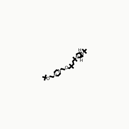 CC(C)(CCC(C)(C)N1C[C@@H]2C[C@H]1CN2C(C)(C)C)COCCN1CCN(CCOC(C)(C)C)CC1